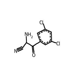 N#CC(N)C(=O)c1cc(Cl)cc(Cl)c1